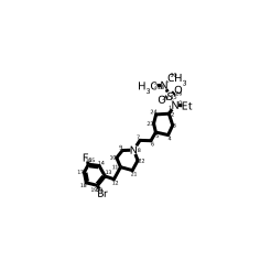 CCN(C1CCC(CCN2CCC(Cc3cc(F)ccc3Br)CC2)CC1)S(=O)(=O)N(C)C